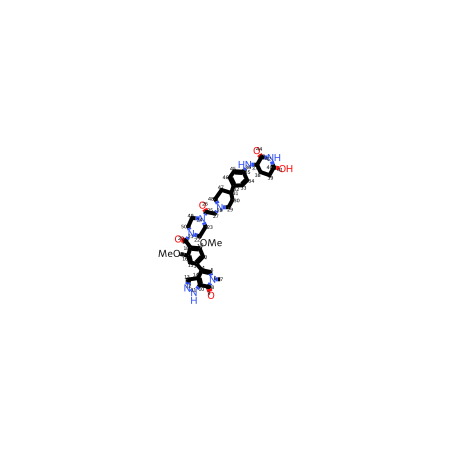 COc1cc(-c2cn(C)c(=O)c3[nH]ncc23)cc(OC)c1C(=O)N1CCN(C(=O)CN2CCC(c3ccc(NC4CCC(O)NC4=O)cc3)CC2)CC1